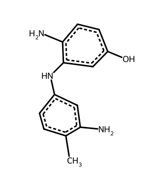 Cc1ccc(Nc2cc(O)ccc2N)cc1N